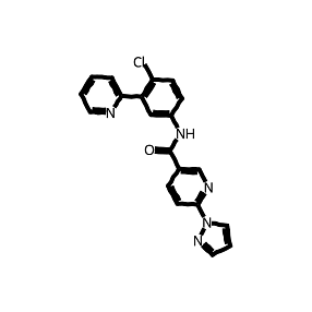 O=C(Nc1ccc(Cl)c(-c2ccccn2)c1)c1ccc(-n2cccn2)nc1